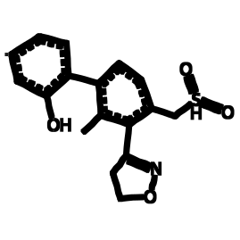 Cc1c(-c2cc[c]cc2O)ccc(C[SH](=O)=O)c1C1=NOCC1